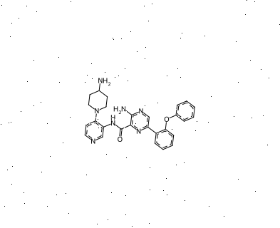 Nc1ncc(-c2ccccc2Oc2ccccc2)nc1C(=O)Nc1cnccc1N1CCC(N)CC1